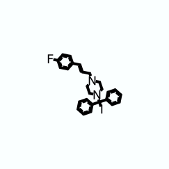 Fc1ccc(/C=C/CN2CCN(C(I)(c3ccccc3)c3ccccc3)CC2)cc1